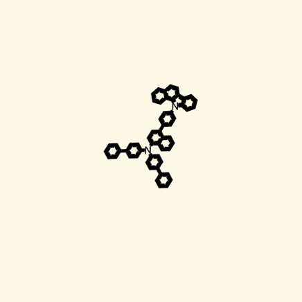 c1ccc(-c2ccc(N(c3ccc(-c4ccccc4)cc3)c3ccc(-c4ccc(-n5c6ccccc6c6ccc7ccccc7c65)cc4)c4ccccc34)cc2)cc1